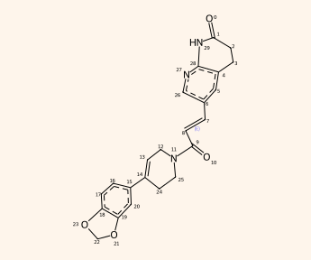 O=C1CCc2cc(/C=C/C(=O)N3CC=C(c4ccc5c(c4)OCO5)CC3)cnc2N1